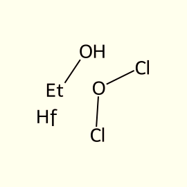 CCO.ClOCl.[Hf]